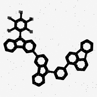 [2H]c1c([2H])c([2H])c(-n2c3ccccc3c3cc(-c4ccc5c(c4)c4ccccc4n5-c4cccc(-c5ccc6c7c(cccc57)-c5ccccc5-6)c4)ccc32)c([2H])c1[2H]